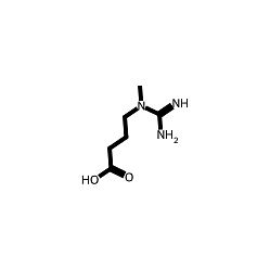 CN(CCCC(=O)O)C(=N)N